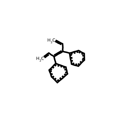 C=CC(=C(C=C)c1ccccc1)c1ccccc1